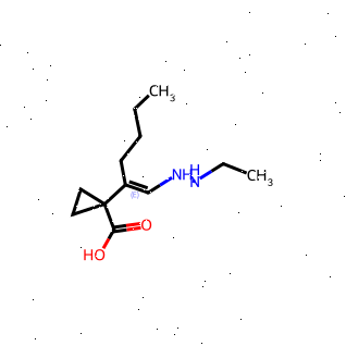 CCCC/C(=C\NNCC)C1(C(=O)O)CC1